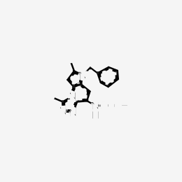 Cc1cc2c(cc(NC(=O)O)c3nnc(C)n32)n1Cc1ccccc1